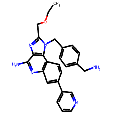 CCOCc1nc2c(N)nc3cc(-c4cccnc4)ccc3c2n1Cc1ccc(CN)cc1